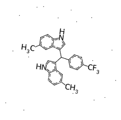 Cc1ccc2[nH]cc(C(c3ccc(C(F)(F)F)cc3)c3c[nH]c4ccc(C)cc34)c2c1